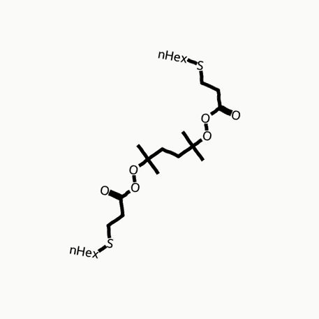 CCCCCCSCCC(=O)OOC(C)(C)CCC(C)(C)OOC(=O)CCSCCCCCC